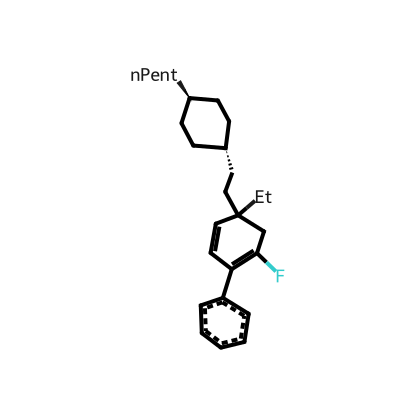 CCCCC[C@H]1CC[C@H](CCC2(CC)C=CC(c3ccccc3)=C(F)C2)CC1